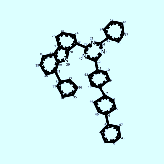 c1ccc(-c2ccc(-c3ccc(-c4nc(-c5ccccc5)nc(-c5cccc6c5sc5c(-c7ccccc7)cccc56)n4)cc3)cc2)cc1